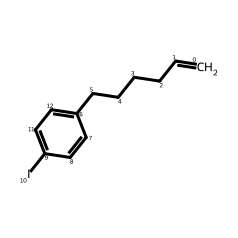 C=CCCCCc1ccc(I)cc1